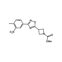 COC(=O)N1CC(c2nc(-c3ccc(C)c([N+](=O)[O-])c3)no2)C1